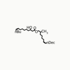 CCCC/C=C\CCCCCC(O)CC(=O)OCC(C)CCCC/C=C\CCCCCCCCCC